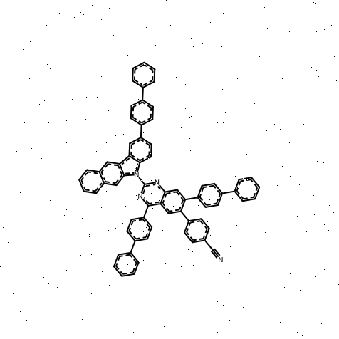 N#Cc1ccc(-c2cc3c(-c4ccc(-c5ccccc5)cc4)nc(-n4c5ccc(-c6ccc(-c7ccccc7)cc6)cc5c5cc6ccccc6cc54)nc3cc2-c2ccc(-c3ccccc3)cc2)cc1